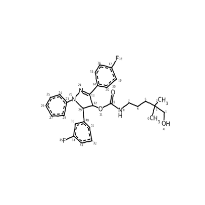 CC(C)(CO)CCCNC(=O)OC1C(c2ccc(F)cc2)=NN(c2ccccc2)C1c1cccc(F)c1